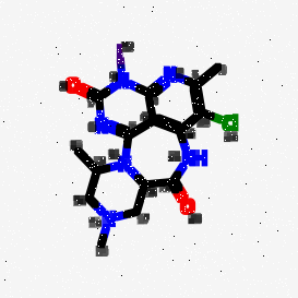 Cc1nc2c3c(nc(=O)n2I)N2C(C)CN(C)CC2C(=O)Nc3c1Cl